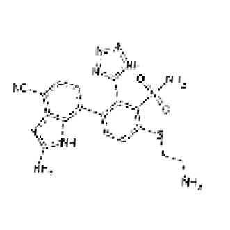 N#Cc1ccc(-c2ccc(SCCN)c(S(N)(=O)=O)c2-c2nnn[nH]2)c2[nH]c(N)nc12